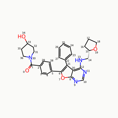 O=C(c1ccc(-c2oc3ncnc(NC[C@@H]4CCCO4)c3c2-c2ccccc2)cc1)N1CCC(O)CC1